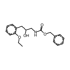 CCOc1ccccc1CC(O)CNC(=O)OCc1ccccc1